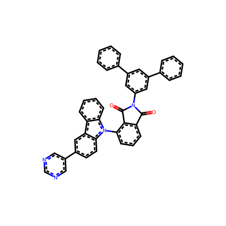 O=C1c2cccc(-n3c4ccccc4c4cc(-c5cncnc5)ccc43)c2C(=O)N1c1cc(-c2ccccc2)cc(-c2ccccc2)c1